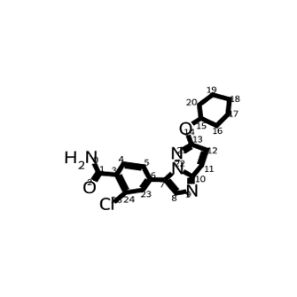 NC(=O)c1ccc(-c2cnc3ccc(OC4CCCCC4)nn23)cc1Cl